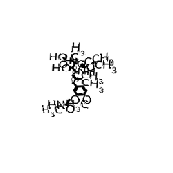 CNC(=O)COc1cc(C[C@@H](C[C@H](NC(=O)OC(C)(C)C)[C@@H](O)C[C@@H](C)C(=O)O)C(C)C)ccc1OC